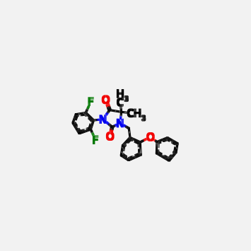 CC1(C)C(=O)N(c2c(F)cccc2F)C(=O)N1Cc1ccccc1Oc1ccccc1